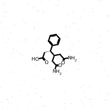 NC(=O)CC(CC(N)=O)[C@H](CC(=O)O)c1ccccc1